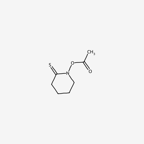 CC(=O)ON1CCCCC1=S